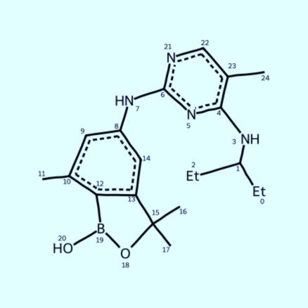 CCC(CC)Nc1nc(Nc2cc(C)c3c(c2)C(C)(C)OB3O)ncc1C